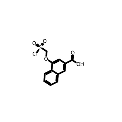 O=C(O)c1cc(OCS(=O)(=O)Cl)c2ccccc2c1